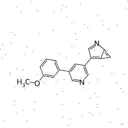 COc1cccc(-c2cncc(-c3cnc4cc3-4)c2)c1